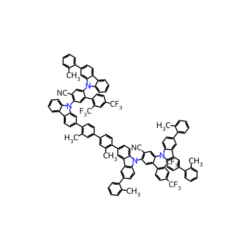 Cc1ccccc1-c1ccc2c(c1)c1cc(-c3ccc(-c4ccc(-c5ccc6c7ccccc7n(-c7cc(-c8ccc(C(F)(F)F)cc8C(F)(F)F)c(-n8c9ccccc9c9ccc(-c%10ccccc%10C)cc98)cc7C#N)c6c5)c(C)c4)cc3C)ccc1n2-c1cc(-c2ccc(C(F)(F)F)cc2C(F)(F)F)c(-n2c3ccc(-c4ccccc4C)cc3c3cc(-c4ccccc4C)ccc32)cc1C#N